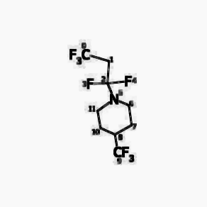 FC(F)(F)CC(F)(F)N1CCC(C(F)(F)F)CC1